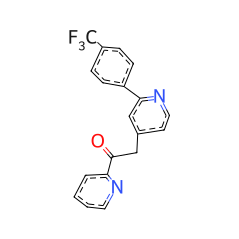 O=C(Cc1ccnc(-c2ccc(C(F)(F)F)cc2)c1)c1ccccn1